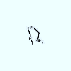 CCCC[SiH3].I[IH]I